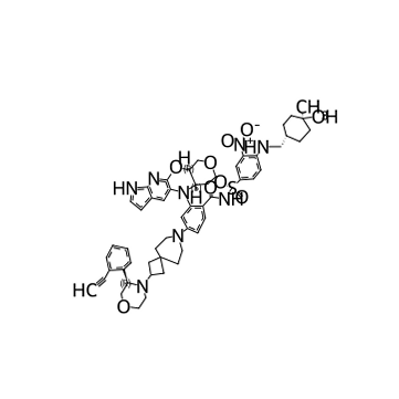 C#Cc1ccccc1[C@@H]1COCCN1C1CC2(CCN(c3ccc(C(=O)NS(=O)(=O)c4ccc(NC[C@H]5CC[C@](C)(O)CC5)c([N+](=O)[O-])c4)c(N4c5cc6cc[nH]c6nc5O[C@H]5COCC[C@@H]54)c3)CC2)C1